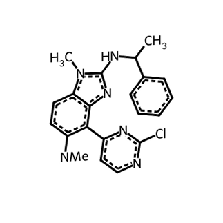 CNc1ccc2c(nc(NC(C)c3ccccc3)n2C)c1-c1ccnc(Cl)n1